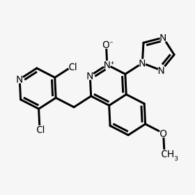 COc1ccc2c(Cc3c(Cl)cncc3Cl)n[n+]([O-])c(-n3cncn3)c2c1